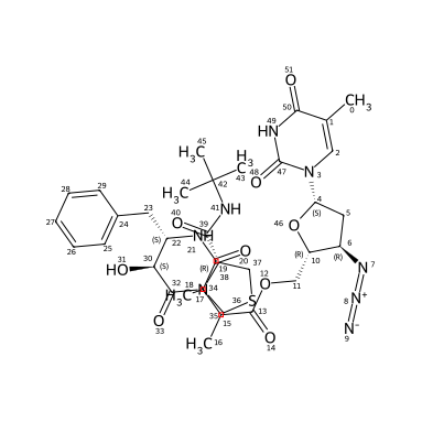 Cc1cn([C@@H]2C[C@@H](N=[N+]=[N-])[C@H](COC(=O)C(C)C(C)C(=O)N[C@@H](Cc3ccccc3)[C@H](O)C(=O)N3CSC[C@H]3C(=O)NC(C)(C)C)O2)c(=O)[nH]c1=O